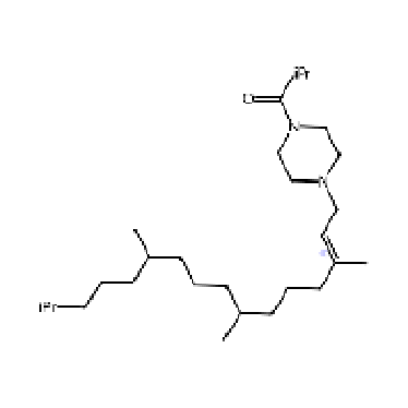 C/C(=C\CN1CCN(C(=O)C(C)C)CC1)CCCC(C)CCCC(C)CCCC(C)C